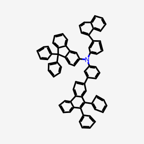 c1ccc(-c2c(-c3ccccc3)c3cc(-c4cccc(N(c5cccc(-c6cccc7ccccc67)c5)c5ccc6c(c5)-c5ccccc5C6(c5ccccc5)c5ccccc5)c4)ccc3c3ccccc23)cc1